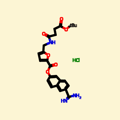 CC(C)(C)OC(=O)CCC(=O)NCc1ccc(C(=O)Oc2ccc3cc(C(=N)N)ccc3c2)o1.Cl